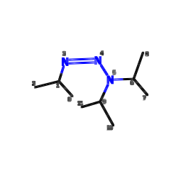 CC(C)/N=N\N(C(C)C)C(C)C